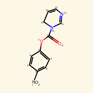 O=C(Oc1ccc([N+](=O)[O-])cc1)N1C=NC=CC1